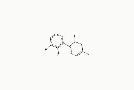 CC1=CC=C(c2cccc(F)c2F)C(C)C1